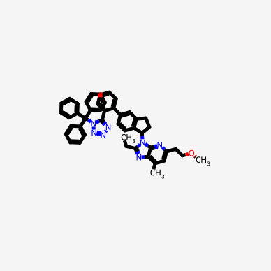 CCc1nc2c(C)cc(CCOC)nc2n1C1CCc2cc(-c3ccccc3-c3nnnn3C(c3ccccc3)(c3ccccc3)c3ccccc3)ccc21